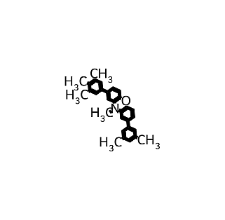 Cc1cc(C)cc(-c2ccc3c(c2)N(C)c2cc(-c4cc(C)c(C)c(C)c4)ccc2O3)c1